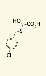 O=C(O)C(O)SCc1ccc(Cl)cc1